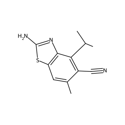 Cc1cc2sc(N)nc2c(C(C)C)c1C#N